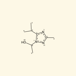 Cc1nc(C(C)C)n(C(C)O)n1